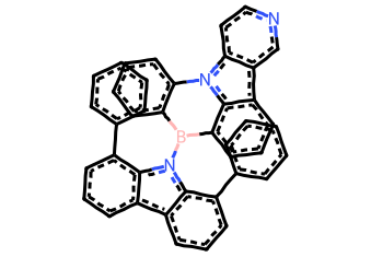 c1ccc(-c2cccc3c4cccc(-c5ccccc5)c4n(B4c5ccccc5-n5c6ccncc6c6cccc4c65)c23)cc1